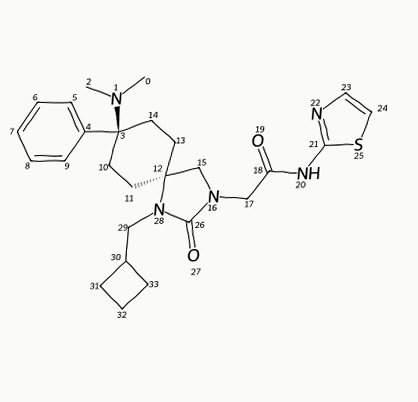 CN(C)[C@]1(c2ccccc2)CC[C@]2(CC1)CN(CC(=O)Nc1nccs1)C(=O)N2CC1CCC1